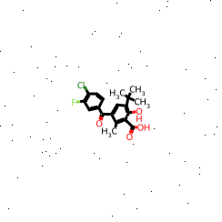 Cc1c(C(=O)c2ccc(Cl)c(F)c2)cc(C(C)(C)C)c(O)c1C(=O)O